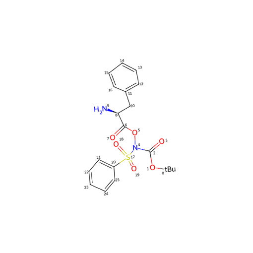 CC(C)(C)OC(=O)N(OC(=O)[C@@H](N)Cc1ccccc1)S(=O)(=O)c1ccccc1